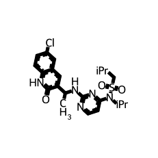 CC(C)CS(=O)(=O)N(c1ccnc(NC(C)c2cc3cc(Cl)ccc3[nH]c2=O)n1)C(C)C